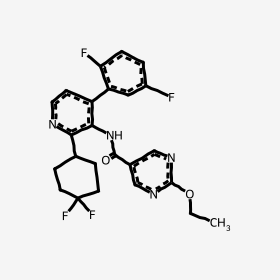 CCOc1ncc(C(=O)Nc2c(-c3cc(F)ccc3F)ccnc2C2CCC(F)(F)CC2)cn1